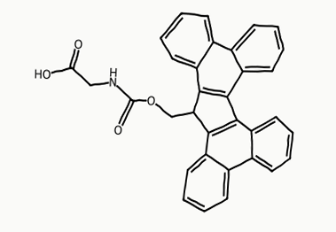 O=C(O)CNC(=O)OCC1c2c(c3ccccc3c3ccccc23)-c2c1c1ccccc1c1ccccc21